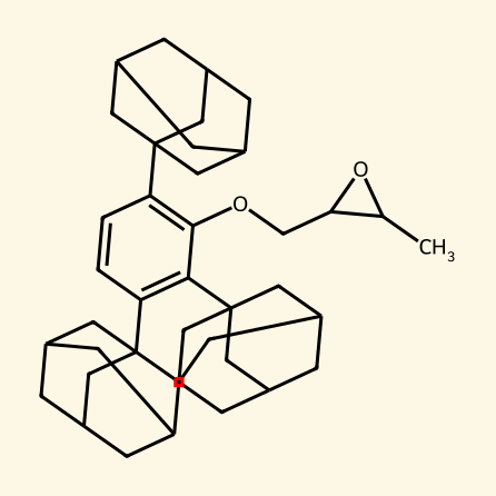 CC1OC1COc1c(C23CC4CC(CC(C4)C2)C3)ccc(C23CC4CC(CC(C4)C2)C3)c1C12CC3CC(CC(C3)C1)C2